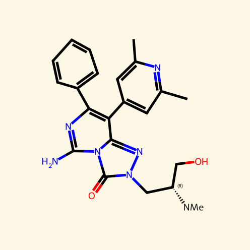 CN[C@@H](CO)Cn1nc2c(-c3cc(C)nc(C)c3)c(-c3ccccc3)nc(N)n2c1=O